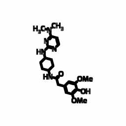 COc1cc(CC(=O)NC2CCC(Nc3nccc(N(C)C)n3)CC2)cc(OC)c1O